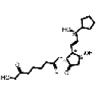 O=C(CO)CCCCC(=O)C[C@H]1C(=O)C[C@@H](O)[C@@H]1C=C[C@@H](O)C1CCCC1